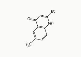 CCc1cc(=O)c2cc(C(F)(F)F)ccc2[nH]1